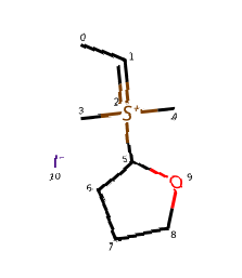 CC=[S+](C)(C)C1CCCO1.[I-]